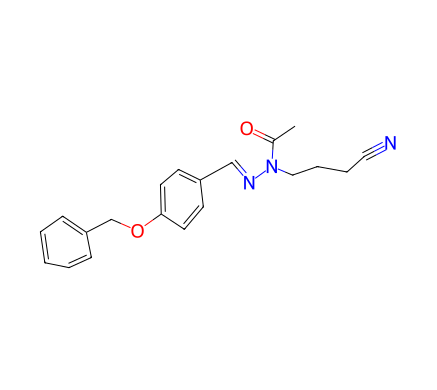 CC(=O)N(CCCC#N)N=Cc1ccc(OCc2ccccc2)cc1